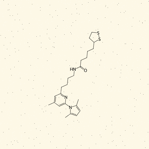 Cc1cc(CCCCNC(=O)CCCCC2CCSS2)nc(-n2c(C)ccc2C)c1